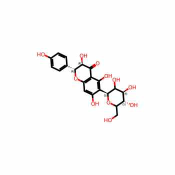 O=C1c2c(cc(O)c([C@@H]3OC(CO)[C@@H](O)[C@H](O)C3O)c2O)O[C@H](c2ccc(O)cc2)[C@H]1O